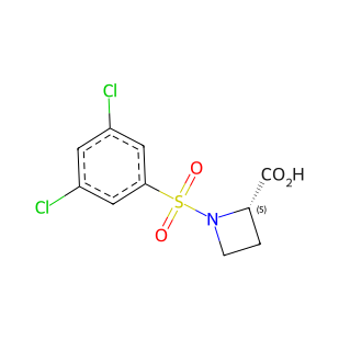 O=C(O)[C@@H]1CCN1S(=O)(=O)c1cc(Cl)cc(Cl)c1